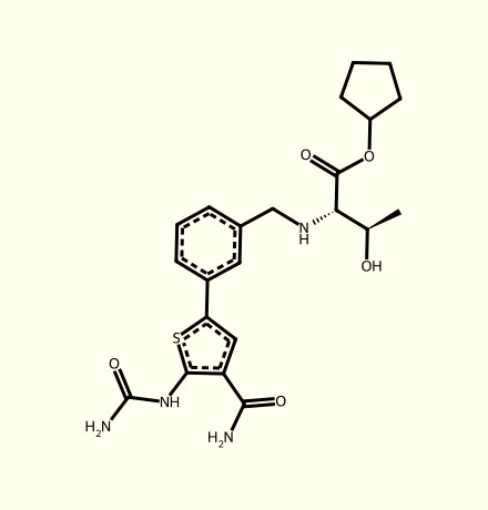 C[C@@H](O)[C@H](NCc1cccc(-c2cc(C(N)=O)c(NC(N)=O)s2)c1)C(=O)OC1CCCC1